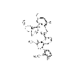 Cc1cc(-c2ncnn2C)c2cccc(OCc3c(Cl)cc(F)cc3[C@H](C)N3CC(O)CCC3=O)c2n1